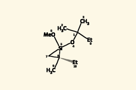 CCC(C)(C)O[Si]1(OC)C[C@@]1(C)CC